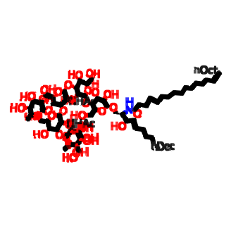 CCCCCCCC/C=C\CCCCCCCCCCCCCC(=O)N[C@@H](CO[C@@H]1OC(CO)[C@@H](O[C@@H]2OC(CO)[C@H](O)[C@H](O[C@@H]3OC(CO)[C@@H](O[C@H]4OC(C)[C@@H](O)C(O)[C@@H]4O)[C@H](O[C@@H]4OC(CO)[C@H](O)[C@H](O[C@H]5OC(CO)[C@H](O)[C@H](O)C5NC(C)=O)C4O[C@H]4OC(C)[C@@H](O)C(O)[C@@H]4O)C3NC(C)=O)C2O)[C@H](O)C1O)[C@H](O)/C=C/CCCCCCCCCCCCC